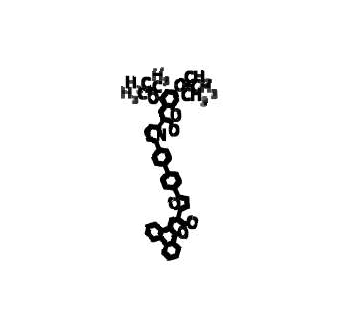 CC(C)(C)Oc1cc(OC(C)(C)C)c2cc(-c3cccc(-c4ccc(-c5ccc(-c6ccc(-c7cc8c9ccccc9c9ccccc9c8oc7=O)o6)cc5)cc4)n3)c(=O)oc2c1